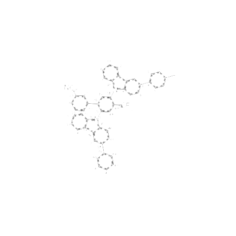 Cc1ccc(-c2ccc3c(c2)c2ccccc2n3-c2cc(-c3cccc(C#N)c3)c(-n3c4ccccc4c4cc(-c5ccccc5)ccc43)cc2C(F)(F)F)cc1